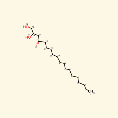 CCCCCCCCCCCCCCCC(=O)CC(O)CO